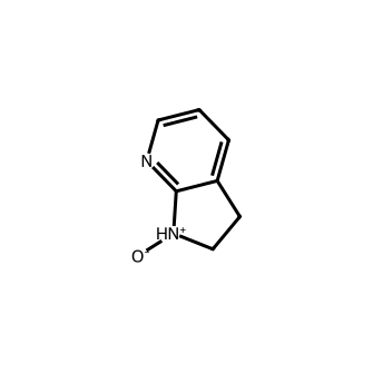 [O-][NH+]1CCc2cccnc21